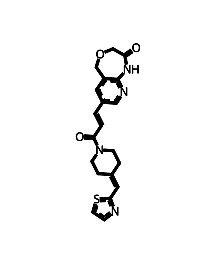 O=C1COCc2cc(/C=C/C(=O)N3CCC(=Cc4nccs4)CC3)cnc2N1